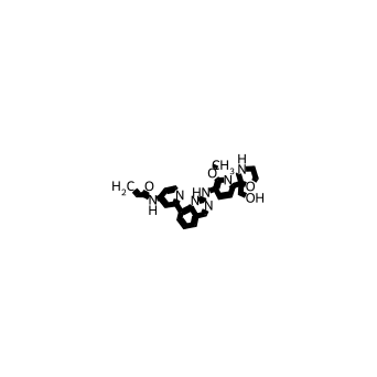 C=CC(=O)Nc1ccnc(-c2cccc3cnc(Nc4ccc(C5(CO)CNCCO5)nc4OC)nc23)c1